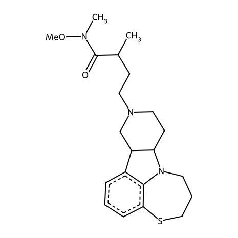 CON(C)C(=O)C(C)CCN1CCC2C(C1)c1cccc3c1N2CCCS3